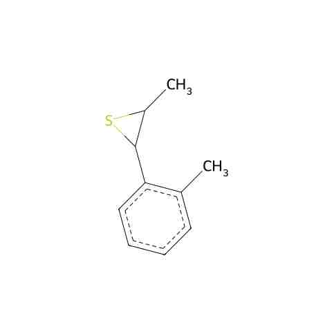 Cc1ccccc1C1SC1C